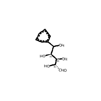 O=C[C@H](O)[C@H](O)[C@@H](O)C(O)c1ccccc1